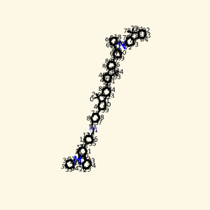 CC1(C)c2cc(-c3ccc(/C=C/c4ccc(-c5ccc6c(c5)c5ccccc5n6-c5ccccc5)cc4)cc3)ccc2-c2ccc(-c3ccc4c(c3)C(C)(C)c3cc(-c5ccc6c(c5)c5ccccc5n6-c5ccc6c(c5)C(C)(C)c5ccccc5-6)ccc3-4)cc21